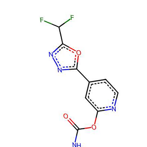 NC(=O)Oc1cc(-c2nnc(C(F)F)o2)ccn1